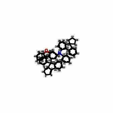 C1=C2C(=CCC1)C(c1ccccc1)(c1cc(N(c3ccccc3)c3cccc4c3-c3ccccc3C43CCCC3)cc3oc4ccccc4c13)c1ccccc12